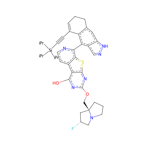 CC(C)[Si](C#CC1=CCCc2cc3[nH]ncc3c(-c3nccc4c3sc3nc(OC[C@@]56CCCN5C[C@H](F)C6)nc(O)c34)c21)(C(C)C)C(C)C